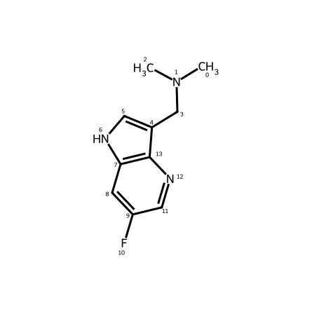 CN(C)Cc1c[nH]c2cc(F)cnc12